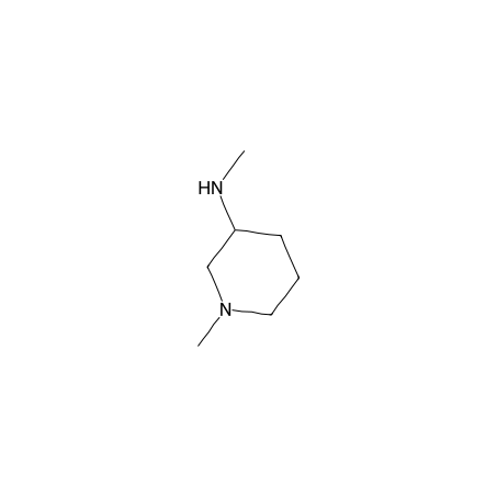 CNC1CCCN(C)C1